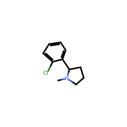 CN1CCCC1c1ccccc1Cl